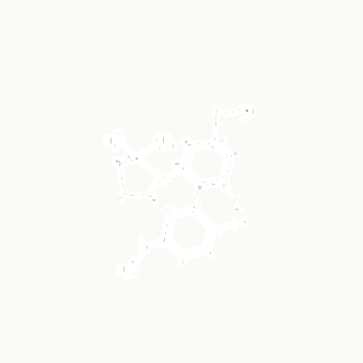 COc1ccc(F)c(-c2c(F)cc(CO)cc2C2=CCCC2(C)C)c1